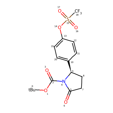 CC(C)(C)OC(=O)N1C(=O)CC[C@@H]1c1ccc(OS(=O)(=O)C(F)(F)F)cc1